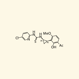 COc1ccc(C(C)=O)c(O)c1[C@H]1C[C@H]1NC(=S)Nc1ccc(Cl)cn1